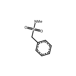 [CH2]NS(=O)(=O)Cc1ccccc1